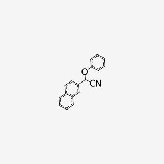 N#CC(Oc1ccccc1)c1ccc2ccccc2c1